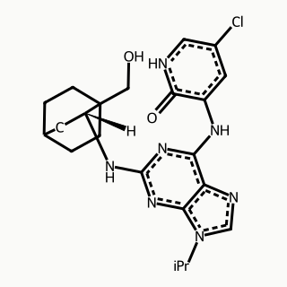 CC(C)n1cnc2c(Nc3cc(Cl)c[nH]c3=O)nc(N[C@@H]3CC4CCC3(CO)CC4)nc21